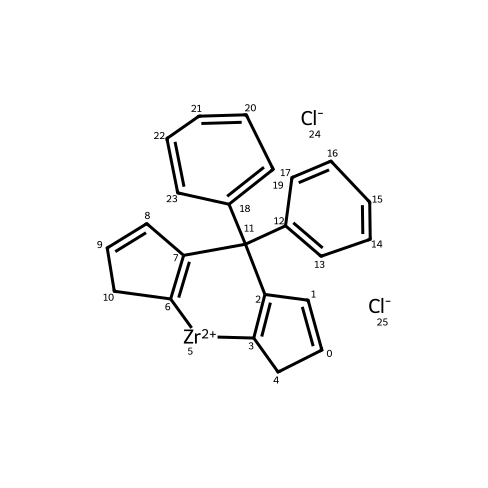 C1=CC2=[C](C1)[Zr+2][C]1=C(C=CC1)C2(c1ccccc1)c1ccccc1.[Cl-].[Cl-]